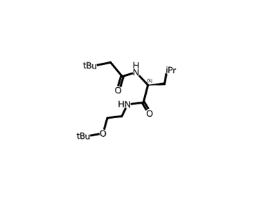 CC(C)C[C@H](NC(=O)CC(C)(C)C)C(=O)NCCOC(C)(C)C